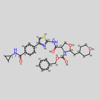 O=C(NC1CC1)c1ccc(-c2csc(NC(=O)C3COC(CC4CCOCC4)N3C(=O)OCc3ccccc3)n2)cc1